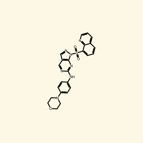 O=S(=O)(c1cccc2cccnc12)n1ncc2cnc(Nc3ccc(N4CCOCC4)cc3)nc21